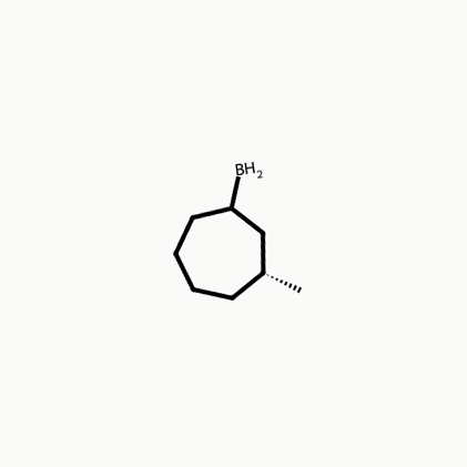 BC1CCCC[C@@H](C)C1